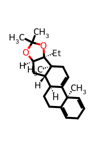 CC[C@@]12OC(C)(C)O[C@@H]1C[C@H]1[C@@H]3CCC4=CCC=C[C@]4(C)C3=CC[C@@]12C